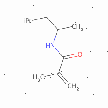 C=C(C)C(=O)NC(C)CC(C)C